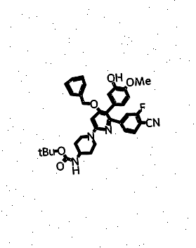 COc1ccc(-c2c(OCc3ccccc3)cc(N3CCC(NC(=O)OC(C)(C)C)CC3)nc2-c2ccc(C#N)c(F)c2)cc1O